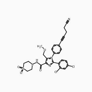 COCc1c(C(=O)NN2CCS(=O)(=O)CC2)nc(-c2ccc(Cl)cc2Cl)n1-c1ccc(C#CCCC#N)cc1